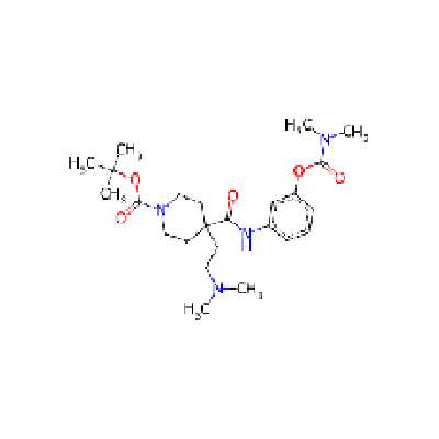 CN(C)CCC1(C(=O)Nc2cccc(OC(=O)N(C)C)c2)CCN(C(=O)OC(C)(C)C)CC1